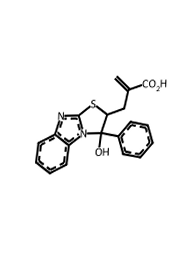 C=C(CC1Sc2nc3ccccc3n2C1(O)c1ccccc1)C(=O)O